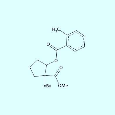 CCCCC1(C(=O)OC)CCCC1OC(=O)c1ccccc1C